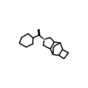 C=C(C1CCCCC1)N1CC2C3CCC(C4CCC43)C2C1